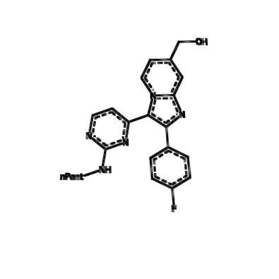 CCCCCNc1nccc(-c2c(-c3ccc(F)cc3)nc3cc(CO)ccn23)n1